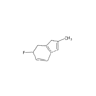 CC1=CC2=C(C1)CC(F)C=C2